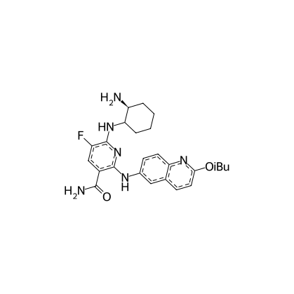 CC(C)COc1ccc2cc(Nc3nc(NC4CCCC[C@@H]4N)c(F)cc3C(N)=O)ccc2n1